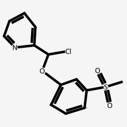 CS(=O)(=O)c1[c]ccc(OC(Cl)c2ccccn2)c1